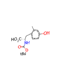 Cc1cc(O)ccc1C[C@H](NC(=O)OC(C)(C)C)C(=O)O